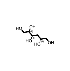 OC[C@H](O)C[C@@H](O)[C@H](O)CO